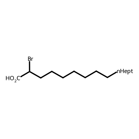 CCCCCCCCCCCCCCC(Br)C(=O)O